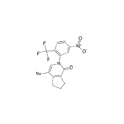 O=c1c2c(c(Br)cn1-c1cc([N+](=O)[O-])ccc1C(F)(F)F)CCC2